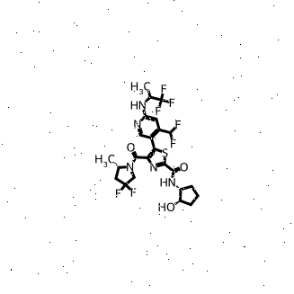 CC(Nc1cc(C(F)F)c(-c2sc(C(=O)N[C@@H]3CCC[C@H]3O)nc2C(=O)N2CC(F)(F)C[C@@H]2C)cn1)C(F)(F)F